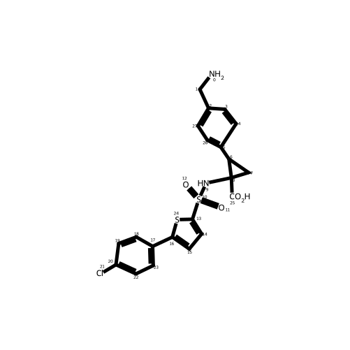 NCc1ccc(C2CC2(NS(=O)(=O)c2ccc(-c3ccc(Cl)cc3)s2)C(=O)O)cc1